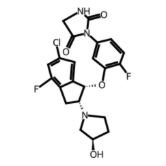 O=C1CNC(=O)N1c1ccc(F)c(O[C@H]2c3cc(Cl)cc(F)c3C[C@H]2N2CC[C@@H](O)C2)c1